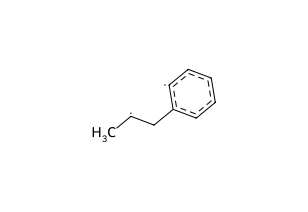 C[CH]Cc1[c]cccc1